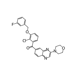 O=C(c1ccc2ncc(N3CCOCC3)nc2c1)c1cccc(OCc2cccc(F)c2)c1Cl